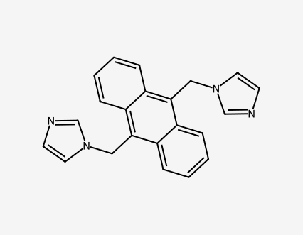 c1ccc2c(Cn3ccnc3)c3ccccc3c(Cn3ccnc3)c2c1